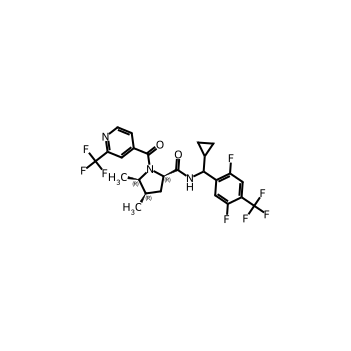 C[C@@H]1C[C@H](C(=O)NC(c2cc(F)c(C(F)(F)F)cc2F)C2CC2)N(C(=O)c2ccnc(C(F)(F)F)c2)[C@@H]1C